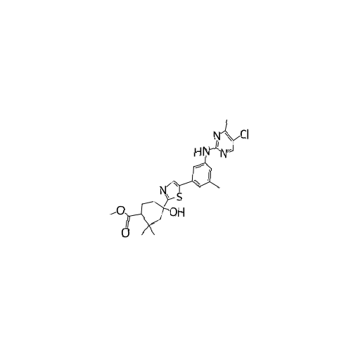 COC(=O)C1CCC(O)(c2ncc(-c3cc(C)cc(Nc4ncc(Cl)c(C)n4)c3)s2)CC1(C)C